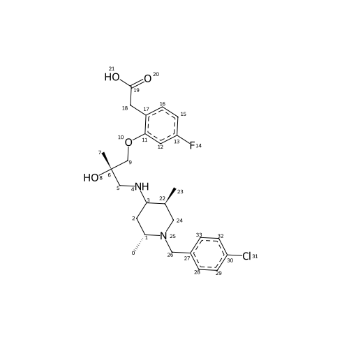 C[C@@H]1CC(NC[C@](C)(O)COc2cc(F)ccc2CC(=O)O)[C@@H](C)CN1Cc1ccc(Cl)cc1